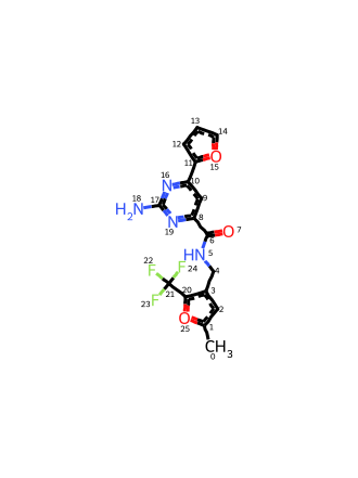 Cc1cc(CNC(=O)c2cc(-c3ccco3)nc(N)n2)c(C(F)(F)F)o1